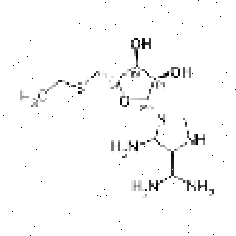 CCSC[C@H]1O[C@@H](N2CNC(C(N)N)C2N)[C@H](O)[C@@H]1O